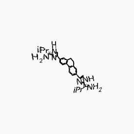 CC(C)[C@H](N)c1nc(-c2ccc3c(c2)CCc2cc(-c4c[nH]c([C@@H](N)C(C)C)n4)ccc2-3)c[nH]1